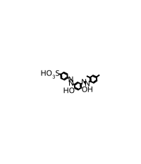 Cc1ccc(N=Nc2cc(N=Nc3ccc(S(=O)(=O)O)cc3)c(O)cc2O)c(C)c1